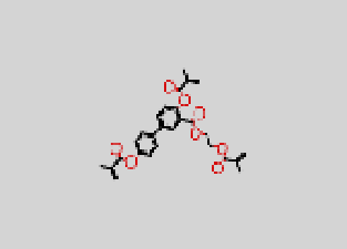 C=C(C)C(=O)OCCOC(=O)c1cc(-c2ccc(OC(=O)C(=C)C)cc2)ccc1OC(=O)C(=C)C